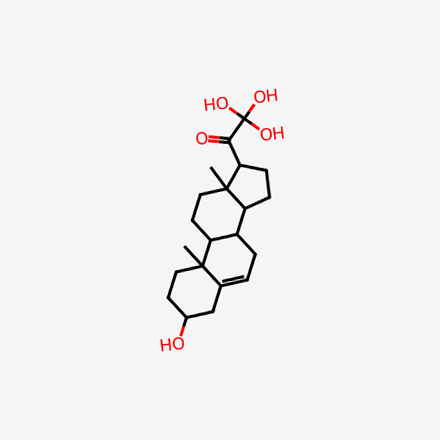 CC12CCC(O)CC1=CCC1C2CCC2(C)C(C(=O)C(O)(O)O)CCC12